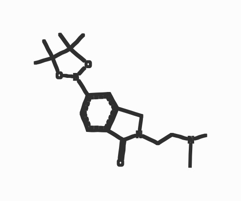 CN(C)CCN1Cc2cc(B3OC(C)(C)C(C)(C)O3)ccc2C1=O